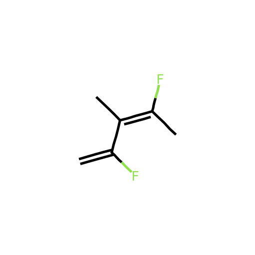 C=C(F)/C(C)=C(\C)F